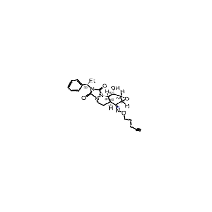 C#CCCCO/N=C1/[C@H]2CCn3c(=O)n([C@@H](CC)c4ccccc4)c(=O)n3[C@H]2[C@H](O)[C@@H]2O[C@H]12